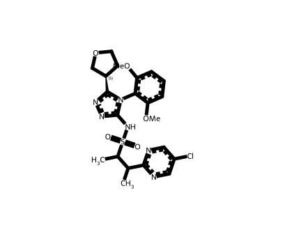 COc1cccc(OC)c1-n1c(NS(=O)(=O)C(C)C(C)c2ncc(Cl)cn2)nnc1[C@@H]1CCOC1